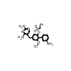 CCOc1cc(Cc2cnc(N)nc2N)cc(OS(=O)(=O)CC(C)C)c1-c1cccc(N)c1